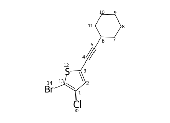 Clc1cc(C#CC2CCCCC2)sc1Br